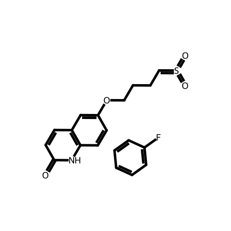 Fc1ccccc1.O=c1ccc2cc(OCCCC=S(=O)=O)ccc2[nH]1